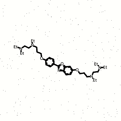 CCN(CC)CCN(CC)CCCOc1ccc(-c2nc3ccc(OCCCN(CC)CCN(CC)CC)cc3o2)cc1